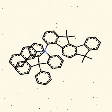 CC1(C)c2ccccc2-c2c1ccc1c2C(C)(C)c2cccc(N(c3ccc4ccccc4c3)c3ccccc3C3(c4ccccc4)c4ccccc4-c4ccccc43)c2-1